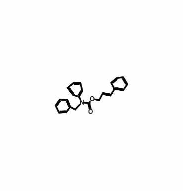 O=C(OCC=Cc1ccccc1)N(Cc1ccccc1)c1ccccc1